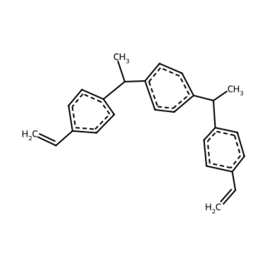 C=Cc1ccc(C(C)c2ccc(C(C)c3ccc(C=C)cc3)cc2)cc1